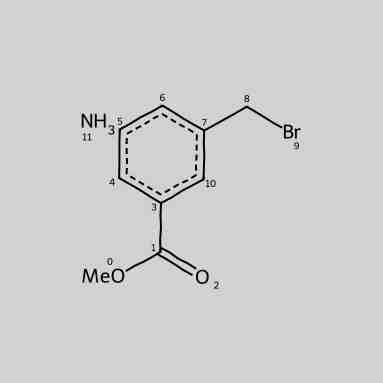 COC(=O)c1cccc(CBr)c1.N